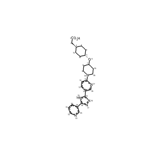 O=C(O)C[C@H]1CC[C@H](OC2CCN(c3ccc(-c4nnc(-c5cccnc5)[nH]4)cn3)CC2)CC1